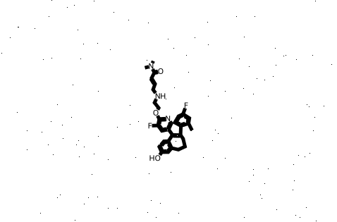 Cc1cc(F)ccc1C1=C(c2cnc(OCCNC/C=C/C(=O)N(C)C)c(F)c2)c2ccc(O)cc2CCC1